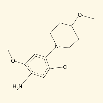 COc1cc(N2CCC(OC)CC2)c(Cl)cc1N